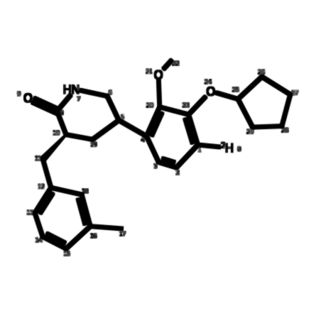 [2H]c1ccc(C2CNC(=O)[C@H](Cc3cccc(C)c3)C2)c(OC)c1OC1CCCC1